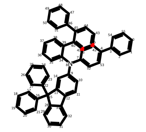 c1ccc(-c2ccc(N(c3ccc4c(c3)C(c3ccccc3)(c3ccccc3)c3ccccc3-4)c3ccccc3-c3ccccc3-c3ccccc3)cc2)cc1